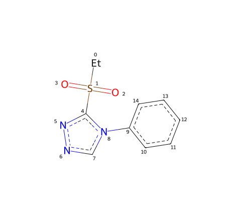 CCS(=O)(=O)c1nncn1-c1ccccc1